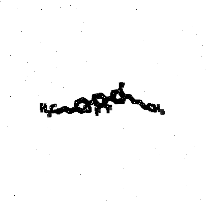 CCCCCc1ccc(-c2ccc(C3CCC(CCCC)CO3)c(F)c2F)cc1F